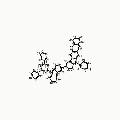 c1ccc(-c2nc(-c3ccccc3)nc(-n3c4ccccc4c4cc(-c5ccc6c(c5)c5cc7c(cc5n6-c5ccccc5)Oc5ccccc5O7)ccc43)n2)cc1